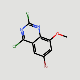 COc1cc(Br)cc2c(Cl)nc(Cl)nc12